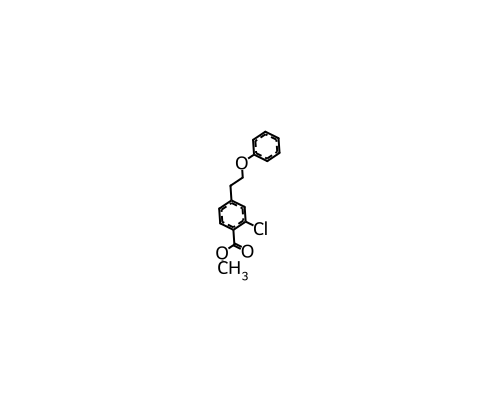 COC(=O)c1ccc(CCOc2ccccc2)cc1Cl